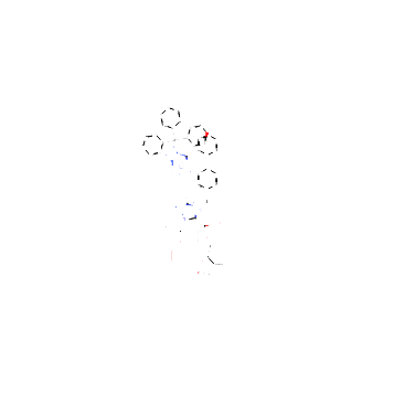 CC1=C(COC(=O)c2c(C(C)(C)O)nc(C)n2Cc2ccc(-c3ccccc3-c3nnnn3C(c3ccccc3)(c3ccccc3)c3ccccc3)cc2)OC(=O)C1